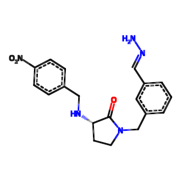 NN=Cc1cccc(CN2CC[C@H](NCc3ccc([N+](=O)[O-])cc3)C2=O)c1